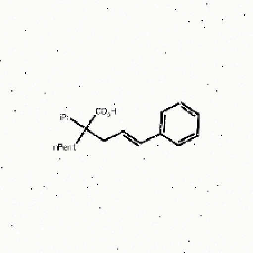 CCCCCC(CC=Cc1ccccc1)(C(=O)O)C(C)C